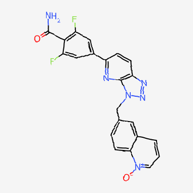 NC(=O)c1c(F)cc(-c2ccc3nnn(Cc4ccc5c(ccc[n+]5[O-])c4)c3n2)cc1F